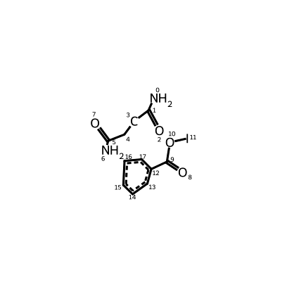 NC(=O)CCC(N)=O.O=C(OI)c1ccccc1